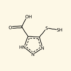 O=C(O)c1[nH]nnc1SS